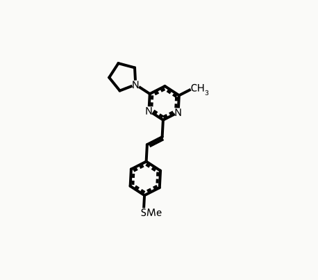 CSc1ccc(C=Cc2nc(C)cc(N3CCCC3)n2)cc1